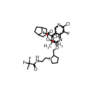 CC(C)(C)OC(=O)N1C2CCC1CN(c1nc(OCC3CCCN3CCNC(=O)C(F)(F)F)nc3c(F)c(Cl)ncc13)C2